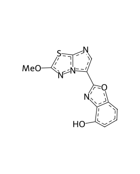 COc1nn2c(-c3nc4c(O)cccc4o3)cnc2s1